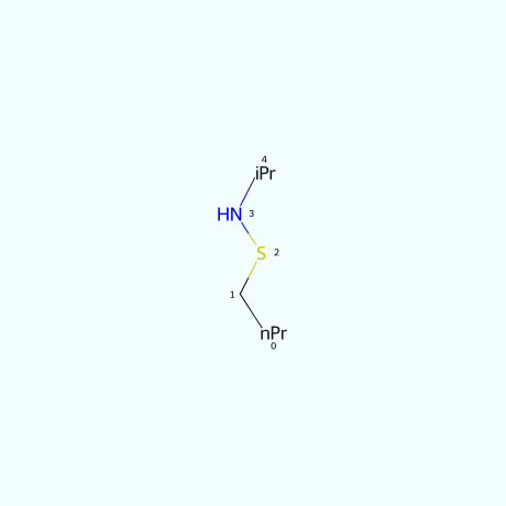 CCCCSNC(C)C